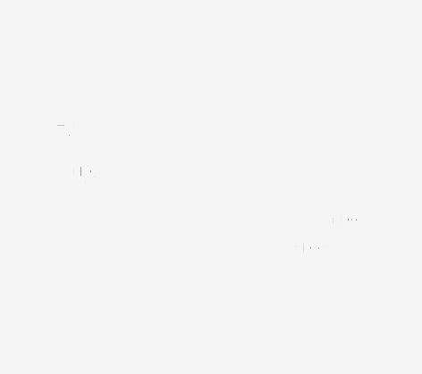 C=CCCCCCCCCCCCCCCCC.C=CCCCCCCCCCCCCCCCCCC